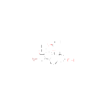 CC(=O)O[C@H]1C[C@]2(C)C(=O)[C@H](Br)CC2C2CC=C3C[C@@H](O)CC[C@]3(C)C21